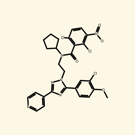 COc1ccc(-c2nc(-c3ccncc3)nn2CCN(C(=O)c2c(Cl)ccc([N+](=O)[O-])c2Cl)C2CCCC2)cc1Cl